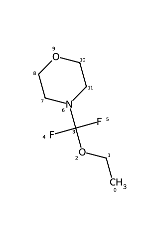 CCOC(F)(F)N1CCOCC1